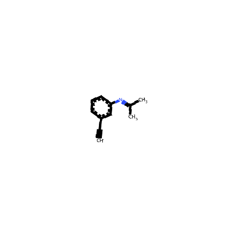 C#Cc1cccc(N=C(C)C)c1